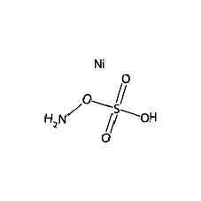 NOS(=O)(=O)O.[Ni]